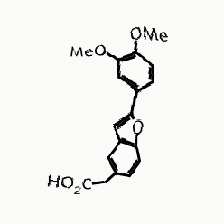 COc1ccc(-c2cc3cc(CC(=O)O)ccc3o2)cc1OC